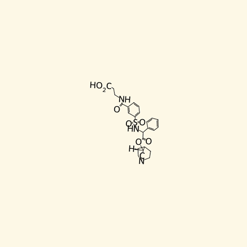 O=C(O)CCNC(=O)c1cccc(S(=O)(=O)NC(C(=O)O[C@H]2CN3CCC2CC3)c2ccccc2)c1